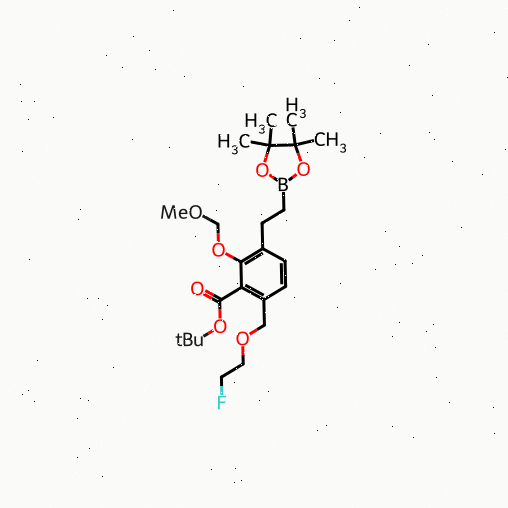 COCOc1c(CCB2OC(C)(C)C(C)(C)O2)ccc(COCCF)c1C(=O)OC(C)(C)C